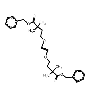 CC(C)(CCO/C=C/OCCC(C)(C)C(=O)OCc1ccccc1)C(=O)OCc1ccccc1